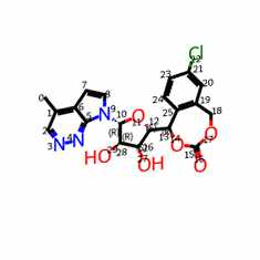 Cc1cnnc2c1ccn2[C@@H]1O[C@H]([C@@H]2OC(=O)OCc3cc(Cl)ccc32)[C@@H](O)[C@H]1O